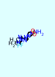 C=N/C(=C\n1c(-c2nccc(N3CCCN(S(N)(=O)=O)CC3)n2)cnc1C)C(F)F